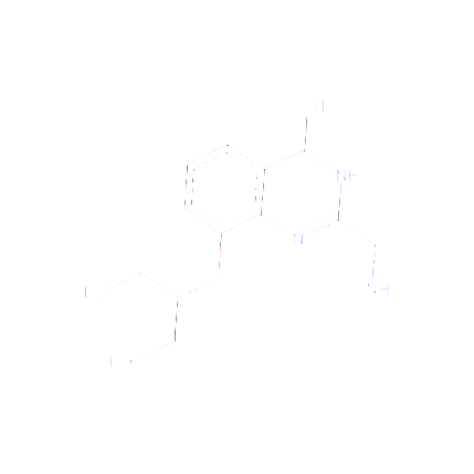 CCC(CC)Oc1cccc2c1N=C(CN)NC2C